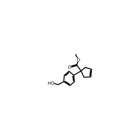 COC(=O)C1(c2ccc(CO)cc2)CC=CC1